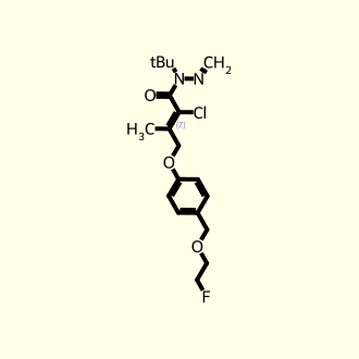 C=NN(C(=O)/C(Cl)=C(\C)COc1ccc(COCCF)cc1)C(C)(C)C